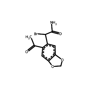 CC(=O)c1cc2c(cc1C(Br)C(N)=O)OCO2